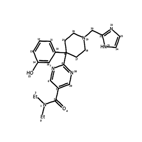 CCN(CC)C(=O)c1cnc(C2(c3cccc(O)c3)CCN(Cc3ncc[nH]3)CC2)nc1